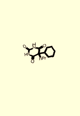 CCCC1(C2CCCCC2)C(=O)NC(=O)NC1=O